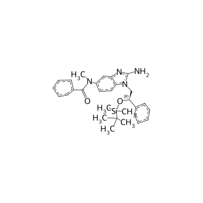 CN(C(=O)c1ccccc1)c1ccc2c(c1)nc(N)n2C[C@H](O[Si](C)(C)C(C)(C)C)c1ccccc1